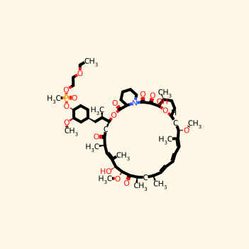 CCOCCOP(C)(=O)O[C@@H]1CC[C@@H](C[C@@H](C)[C@@H]2CC(=O)[C@H](C)/C=C(\C)[C@@H](O)[C@@H](OC)C(=O)[C@H](C)C[C@H](C)/C=C/C=C/C=C(\C)[C@@H](OC)C[C@@H]3CC[C@@H](C)C(O)(O3)C(=O)C(=O)N3CCCCC3C(=O)O2)C[C@H]1OC